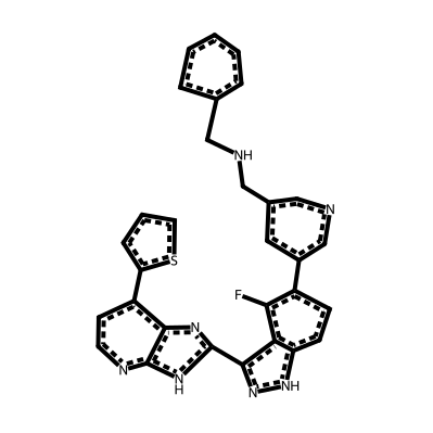 Fc1c(-c2cncc(CNCc3ccccc3)c2)ccc2[nH]nc(-c3nc4c(-c5cccs5)ccnc4[nH]3)c12